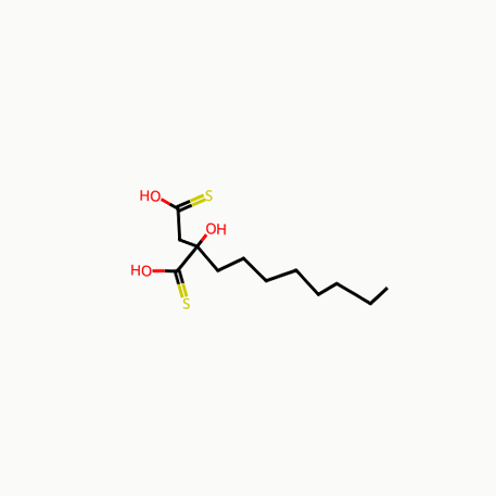 CCCCCCCCC(O)(CC(O)=S)C(O)=S